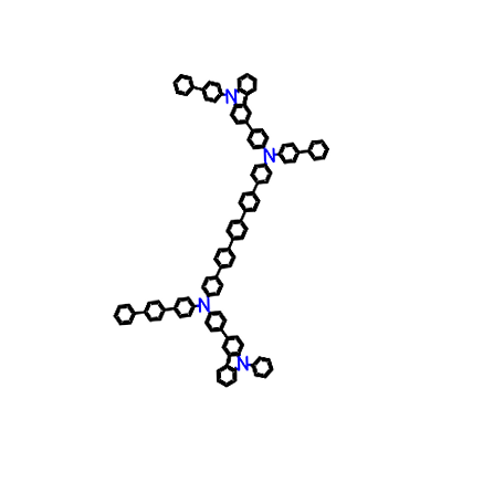 c1ccc(-c2ccc(-c3ccc(N(c4ccc(-c5ccc(-c6ccc(-c7ccc(-c8ccc(N(c9ccc(-c%10ccccc%10)cc9)c9ccc(-c%10ccc%11c(c%10)c%10ccccc%10n%11-c%10ccc(-c%11ccccc%11)cc%10)cc9)cc8)cc7)cc6)cc5)cc4)c4ccc(-c5ccc6c(c5)c5ccccc5n6-c5ccccc5)cc4)cc3)cc2)cc1